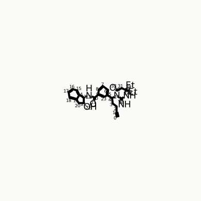 C#CCCC(c1cccc(C(=O)N[C@@H]2c3ccccc3C[C@H]2O)c1)N1C(=N)NC(CC)(CC)CC1=O